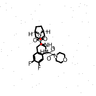 NC(Cc1cc(F)c(F)cc1F)[C@@H]1C[C@H]2CC[C@@H](C1)N2S(=O)(=O)CCNS(=O)(=O)N1CCOCC1